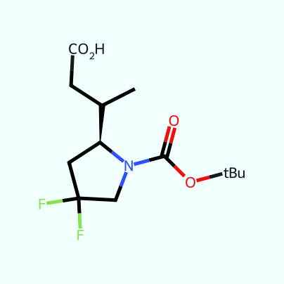 CC(CC(=O)O)[C@@H]1CC(F)(F)CN1C(=O)OC(C)(C)C